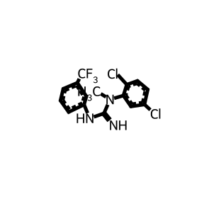 CN(C(=N)Nc1cccc(C(F)(F)F)c1)c1cc(Cl)ccc1Cl